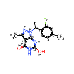 CC(c1ccc(C(F)(F)F)cc1F)n1nc(C(F)(F)F)c2c(=O)[nH]c(O)nc21